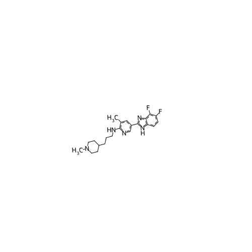 Cc1cc(-c2nc3c(F)c(F)ccc3[nH]2)cnc1NCCCC1CCN(C)CC1